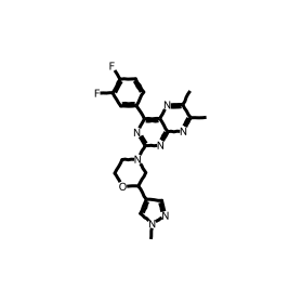 Cc1nc2nc(N3CCOC(c4cnn(C)c4)C3)nc(-c3ccc(F)c(F)c3)c2nc1C